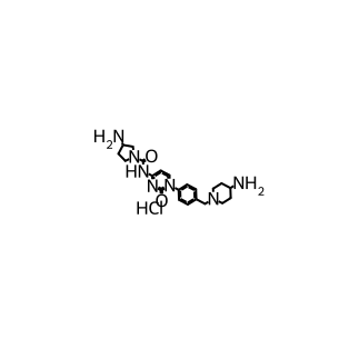 Cl.NC1CCN(Cc2ccc(-n3ccc(NC(=O)N4CCC(N)C4)nc3=O)cc2)CC1